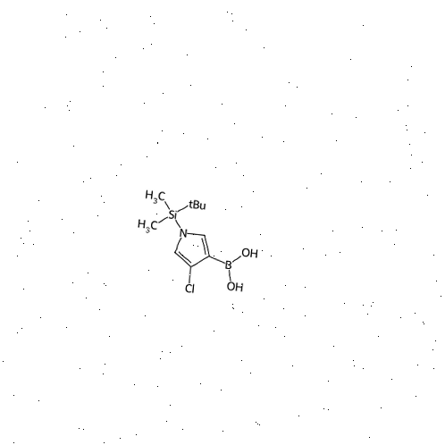 CC(C)(C)[Si](C)(C)n1cc(Cl)c(B(O)O)c1